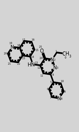 CCn1nc(-c2ccncc2)cc(Nc2cccc3ncccc23)c1=O